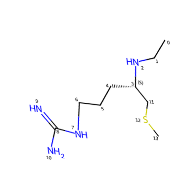 CCN[C@@H](CCCNC(=N)N)CSC